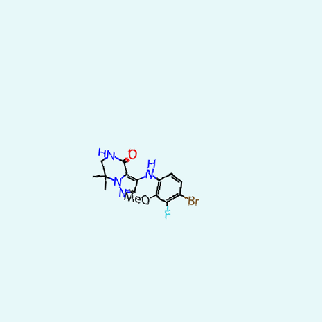 COc1c(Nc2cnn3c2C(=O)NCC3(C)C)ccc(Br)c1F